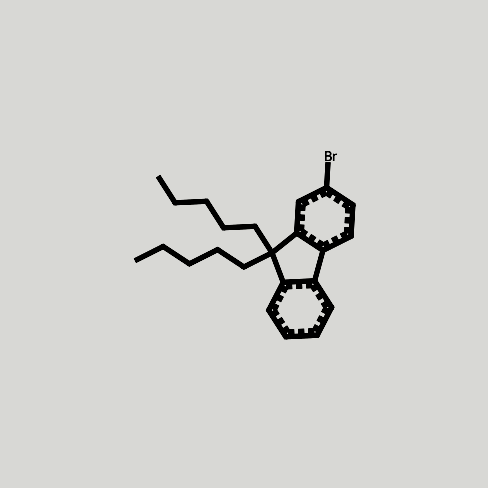 CCCCCC1(CCCCC)c2ccccc2-c2ccc(Br)cc21